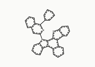 c1ccc(-c2nc(-n3c4ccccc4c4c5ccccc5c5c6ccccc6sc5c43)cc3ccccc23)cc1